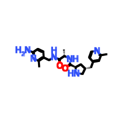 Cc1cc(C[C@@H]2CN[C@@H](C(=O)N[C@@H](C)C(=O)NCc3ccc(N)nc3C)C2)ccn1